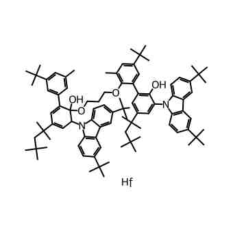 Cc1cc(C2=CC(C(C)(C)CC(C)(C)C)=CC(n3c4ccc(C(C)(C)C)cc4c4cc(C(C)(C)C)ccc43)C2(O)OCCCOc2c(C)cc(C(C)(C)C)cc2-c2cc(C(C)(C)CC(C)(C)C)cc(-n3c4ccc(C(C)(C)C)cc4c4cc(C(C)(C)C)ccc43)c2O)cc(C(C)(C)C)c1.[Hf]